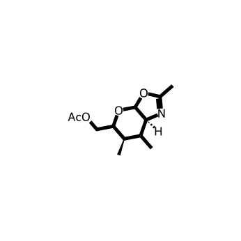 CC(=O)OCC1OC2OC(C)=N[C@H]2C(C)[C@H]1C